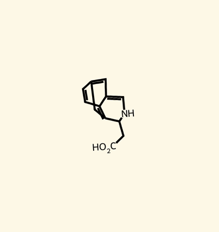 O=C(O)CC1NC=c2cc3ccc2=C1C3